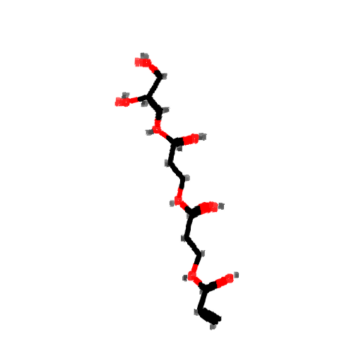 C=CC(=O)OCCC(=O)OCCC(=O)OCC(O)CO